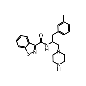 Cc1cccc(CC(CN2CCNCC2)NC(=O)c2nsc3ccccc23)c1